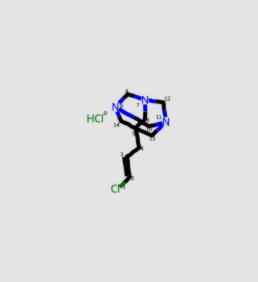 Cl.ClC=CCC12CN3CN(CN(C3)C1)C2